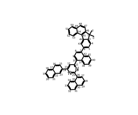 CC1(C)c2ccc(-c3ccc(-c4cc(-c5ccc6ccccc6c5)nc(-c5cccc6ccccc56)n4)c4ccccc34)cc2-c2c1ccc1ccccc21